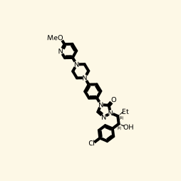 CC[C@H]([C@H](O)c1ccc(Cl)cc1)n1ncn(-c2ccc(N3CCN(c4ccc(OC)nc4)CC3)cc2)c1=O